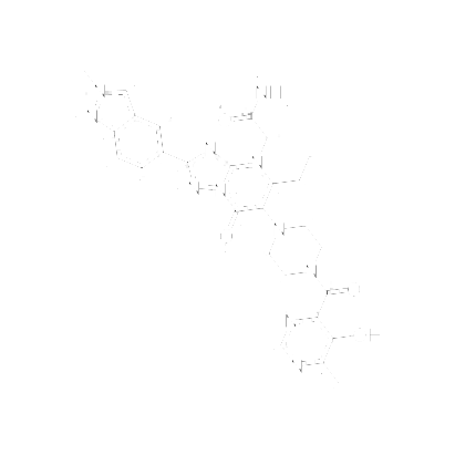 CCc1c(N2CCN(C(=O)c3ncnc(C)c3O)CC2)c(=O)n2nc(-c3ccc4nn(C)cc4c3)nc2n1CC(N)=O